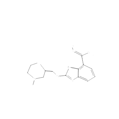 CN1CCOC(CNc2nc3cccc(C(N)=NO)c3[nH]2)C1